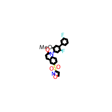 COc1cc(-c2cccc(F)c2)c(F)cc1-n1c(=O)ccc2cc(S(=O)(=O)c3ccon3)ccc21